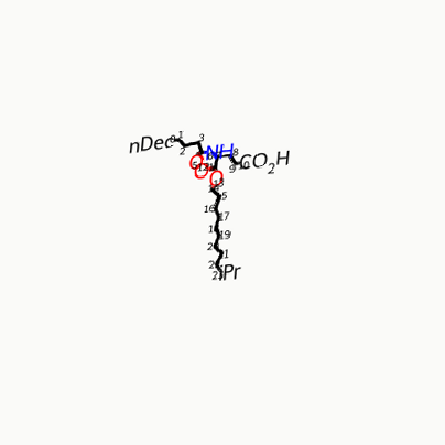 CCCCCCCCCCCCCC(=O)N[C@@H](CCC(=O)O)C(=O)OCCCCCCCCCC(C)C